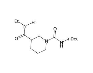 CCCCCCCCCCNC(=O)N1CCCC(C(=O)N(CC)CC)C1